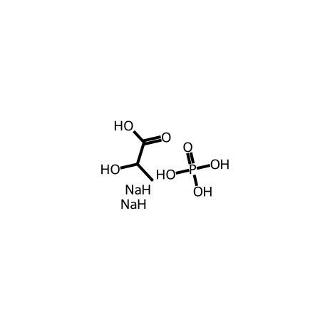 CC(O)C(=O)O.O=P(O)(O)O.[NaH].[NaH]